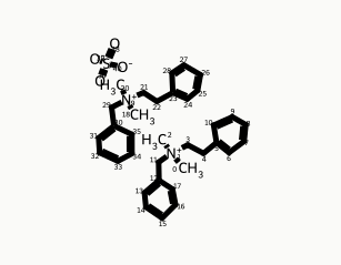 C[N+](C)(CCc1ccccc1)Cc1ccccc1.C[N+](C)(CCc1ccccc1)Cc1ccccc1.O=S(=O)([O-])[O-]